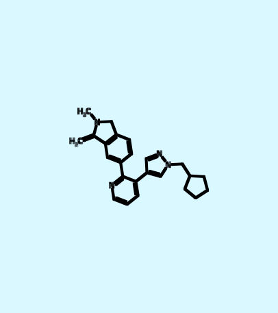 C=C1c2cc(-c3ncccc3-c3cnn(CC4CCCC4)c3)ccc2CN1C